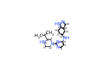 CC(C)C1CN(c2nccc(Nc3ccc4[nH]ncc4c3)n2)CCN1